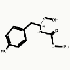 CC(C)(C)OC(=O)N[C@@H](CO)Cc1ccc(C#N)cc1